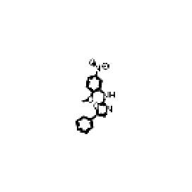 COc1ccc([N+](=O)[O-])cc1Nc1ncc(-c2ccccc2)o1